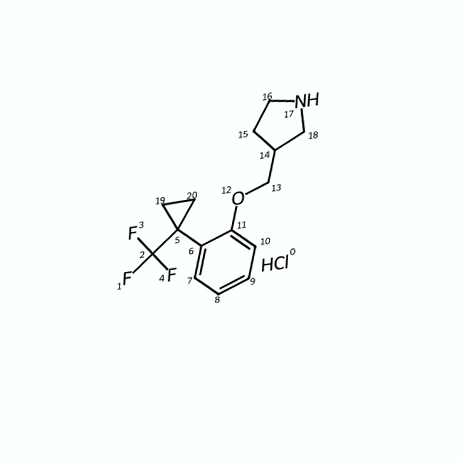 Cl.FC(F)(F)C1(c2ccccc2OCC2CCNC2)CC1